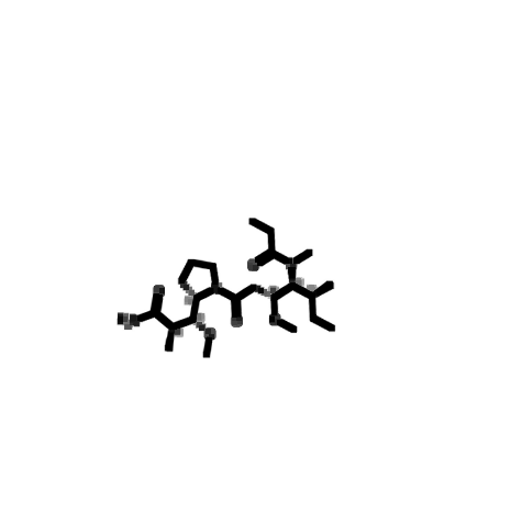 CCC(=O)N(C)[C@@H]([C@@H](C)CC)[C@@H](CC(=O)N1CCC[C@H]1[C@H](OC)[C@@H](C)C(N)=O)OC